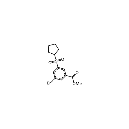 COC(=O)c1cc(Br)cc(S(=O)(=O)C2CCCC2)c1